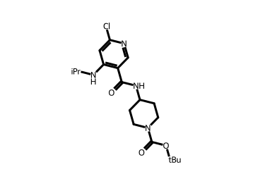 CC(C)Nc1cc(Cl)ncc1C(=O)NC1CCN(C(=O)OC(C)(C)C)CC1